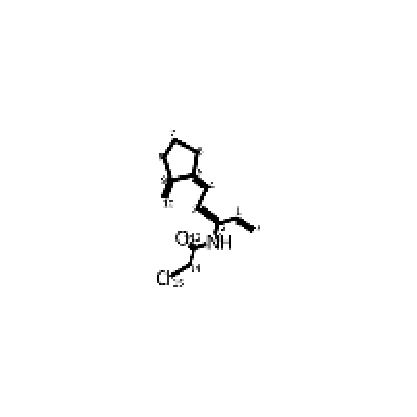 C=C/C(=C\C=C1\CCCC1=C)NC(=O)CCl